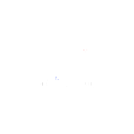 Cc1c[n+](C)ccc1C=O